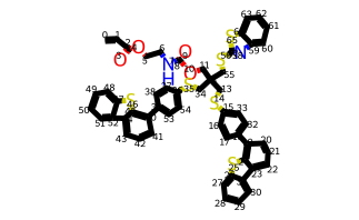 C=CC(=O)OCCNC(=O)OCC(CSc1ccc(-c2cccc3c2sc2ccccc23)cc1)(CSc1ccc(-c2cccc3c2sc2ccccc23)cc1)CSc1nc2ccccc2s1